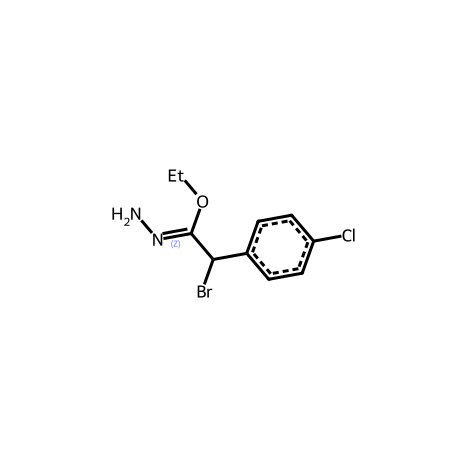 CCO/C(=N\N)C(Br)c1ccc(Cl)cc1